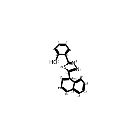 Oc1ccccc1-c1nnc(-c2cccc3ccccc23)s1